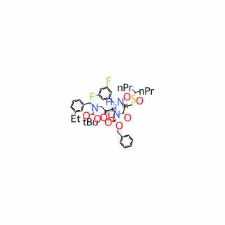 CCCC(CCC)S(=O)(=O)C[C@H](N)C(=O)N(C(=O)OCc1ccccc1)[C@@H](Cc1cc(F)cc(F)c1)[C@H](O)CN(Cc1cccc(CC)c1)C(=O)OC(C)(C)C